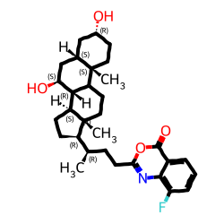 C[C@H](CCc1nc2c(F)cccc2c(=O)o1)[C@H]1CC[C@H]2[C@H]3C(CC[C@]12C)[C@@]1(C)CC[C@@H](O)C[C@H]1C[C@@H]3O